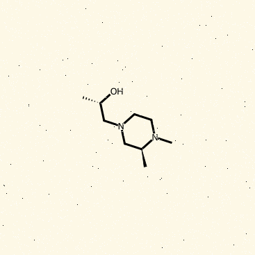 C[C@H](O)CN1CCN(C)[C@@H](C)C1